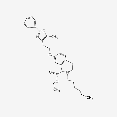 CCCCCCN1CCc2ccc(OCCc3nc(-c4ccccc4)oc3C)cc2C1C(=O)OCC